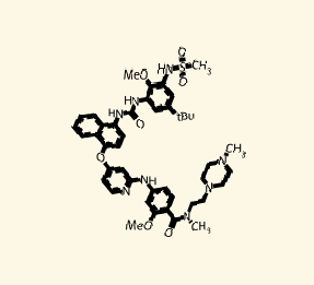 COc1cc(Nc2cc(Oc3ccc(NC(=O)Nc4cc(C(C)(C)C)cc(NS(C)(=O)=O)c4OC)c4ccccc34)ccn2)ccc1C(=O)N(C)CCN1CCN(C)CC1